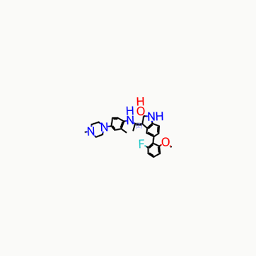 COc1cccc(F)c1-c1ccc2c(c1)/C(=C(\C)Nc1ccc(N3CCN(C)CC3)cc1C)C(O)N2